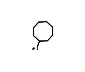 CCC(C)[C]1CCCCCCC1